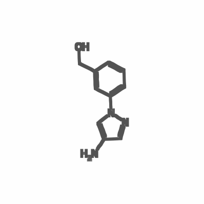 Nc1cnn(-c2cccc(CO)c2)c1